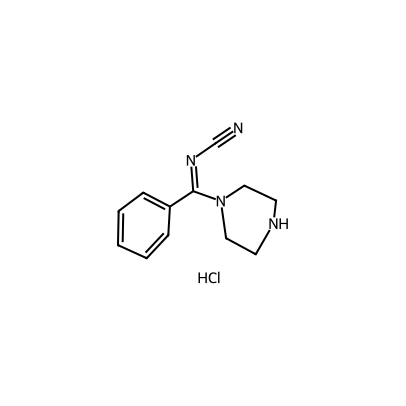 Cl.N#CN=C(c1ccccc1)N1CCNCC1